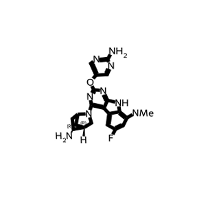 CNc1cc(F)cc2c1[nH]c1nc(Oc3cnc(N)nc3)nc(N3C[C@H]4CC3C[C@H]4N)c12